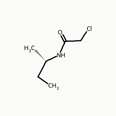 CC[C@H](C)NC(=O)CCl